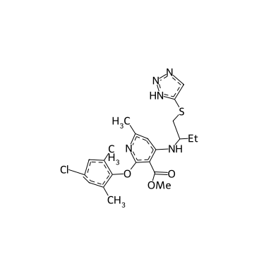 CCC(CSc1cnn[nH]1)Nc1cc(C)nc(Oc2c(C)cc(Cl)cc2C)c1C(=O)OC